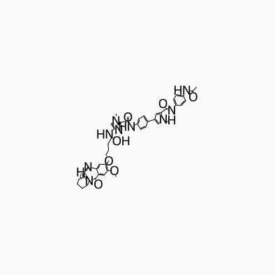 COc1cc2c(cc1OCCCC(O)Nc1cn(C)c(C(=O)Nc3ccc(-c4cc(C(=O)Nc5ccc(NC(C)=O)cc5)n(C)c4)cc3)n1)N=C[C@@H]1CCCCN1C2=O